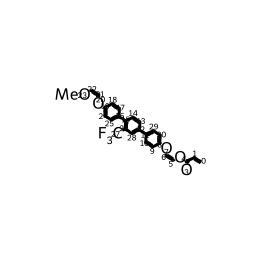 C=CC(=O)O/C=C\Oc1ccc(-c2ccc(-c3ccc(O/C=C\OC)cc3)c(C(F)(F)F)c2)cc1